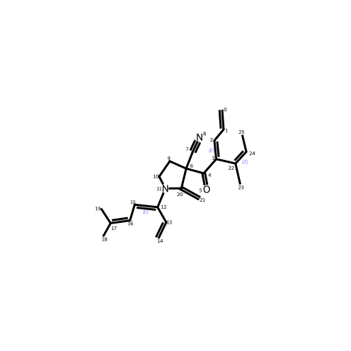 C=C/C=C(C(=O)C1(C#N)CCN(/C(C=C)=C/C=C(C)C)C1=C)\C(C)=C/C